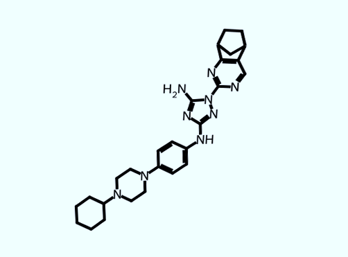 Nc1nc(Nc2ccc(N3CCN(C4CCCCC4)CC3)cc2)nn1-c1ncc2c(n1)C1CCC2C1